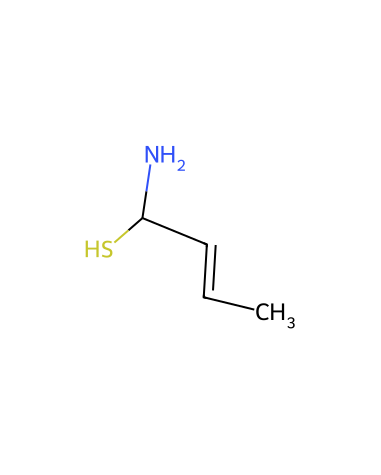 CC=CC(N)S